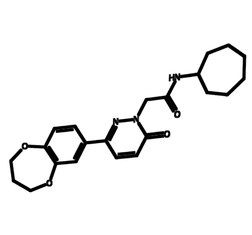 O=C(Cn1nc(-c2ccc3c(c2)OCCCO3)ccc1=O)NC1CCCCCC1